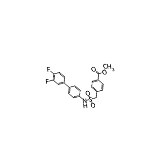 COC(=O)c1ccc(CS(=O)(=O)Nc2ccc(-c3ccc(F)c(F)c3)cc2)cc1